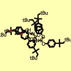 CC(C)(C)CC(C)(C)c1ccc(OP(N[PH](N=[PH](Oc2ccc(C(C)(C)CC(C)(C)C)cc2)Oc2ccc(C(C)(C)CC(C)(C)C)cc2)(Oc2ccc(C(C)(C)CC(C)(C)C)cc2)Oc2ccc(C(C)(C)CC(C)(C)C)cc2)Oc2ccc(C(C)(C)CC(C)(C)C)cc2)cc1